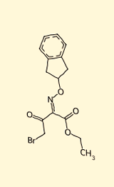 CCOC(=O)C(=NOC1Cc2ccccc2C1)C(=O)CBr